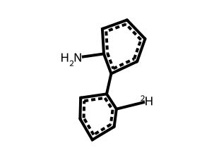 [2H]c1ccccc1-c1ccccc1N